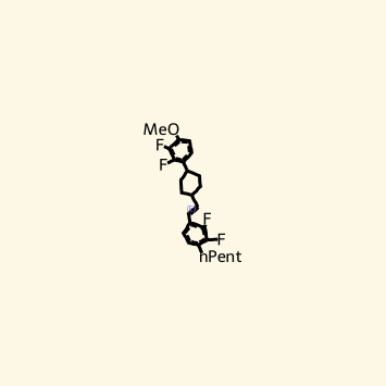 CCCCCc1ccc(/C=C/C2CCC(c3ccc(OC)c(F)c3F)CC2)c(F)c1F